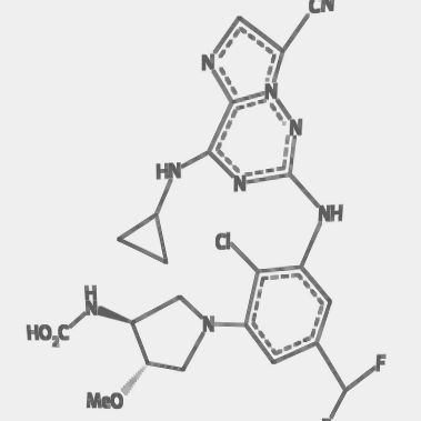 CO[C@H]1CN(c2cc(C(F)F)cc(Nc3nc(NC4CC4)c4ncc(C#N)n4n3)c2Cl)C[C@@H]1NC(=O)O